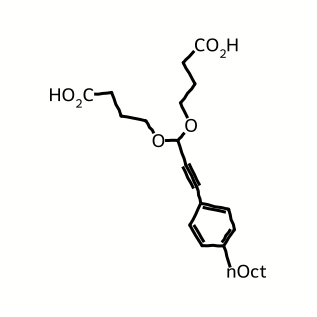 CCCCCCCCc1ccc(C#CC(OCCCC(=O)O)OCCCC(=O)O)cc1